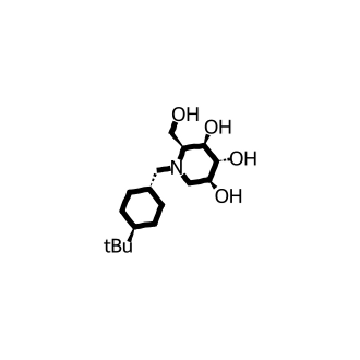 CC(C)(C)[C@H]1CC[C@H](CN2C[C@H](O)[C@@H](O)[C@H](O)[C@@H]2CO)CC1